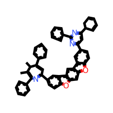 CC1=C(c2ccccc2)N=C(c2ccc3oc4cc5oc6ccc(-c7cc(C8C=CC=CC8)nc(-c8ccccc8)n7)cc6c5cc4c3c2)C=C(c2ccccc2)C1C